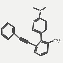 CN(C)c1ccc(-c2c(C#Cc3ccccc3)cccc2C(=O)O)cn1